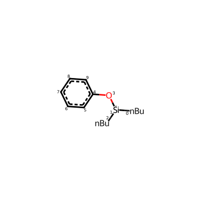 CCCC[Si](CCCC)Oc1ccccc1